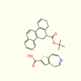 CC(C)(C)OC(=O)C1Cc2c(ccc3ccccc23)C2=C1CCC=C2.O=C(O)c1cc2c(s1)C=CN=CC2